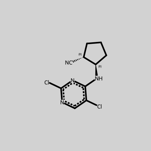 N#C[C@@H]1CCC[C@H]1Nc1nc(Cl)ncc1Cl